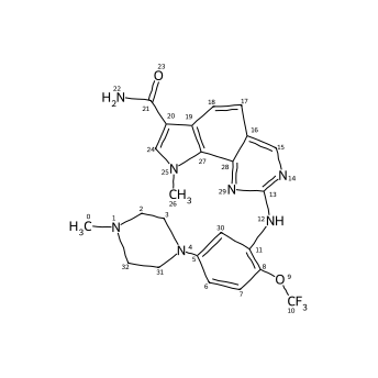 CN1CCN(c2ccc(OC(F)(F)F)c(Nc3ncc4ccc5c(C(N)=O)cn(C)c5c4n3)c2)CC1